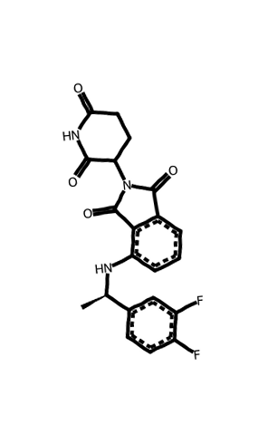 C[C@@H](Nc1cccc2c1C(=O)N(C1CCC(=O)NC1=O)C2=O)c1ccc(F)c(F)c1